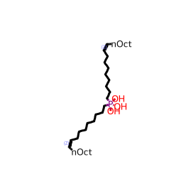 CCCCCCCC/C=C\CCCCCCCCP(O)(O)(O)CCCCCCCC/C=C\CCCCCCCC